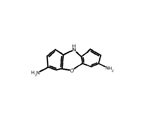 Nc1ccc2c(c1)Oc1cc(N)ccc1N2